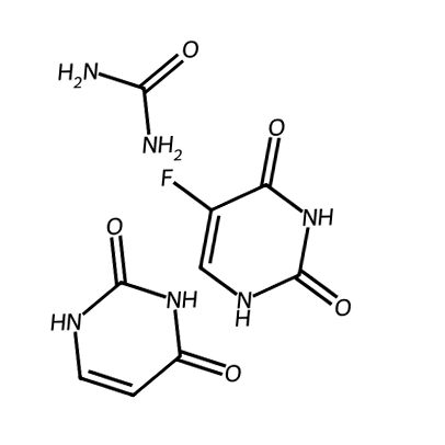 NC(N)=O.O=c1[nH]cc(F)c(=O)[nH]1.O=c1cc[nH]c(=O)[nH]1